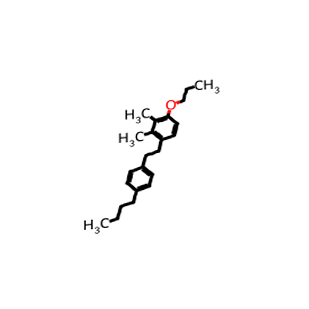 CCCCc1ccc(CCc2ccc(OCCC)c(C)c2C)cc1